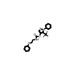 O=C(NCCOc1ccccc1)Oc1cnn(-c2ccccc2)c1C(F)(F)F